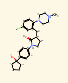 CN1CCN(c2ccc(F)cc2C[C@H]2CCN(c3ccc(C4(O)CCCC4)cc3)C2=O)CC1